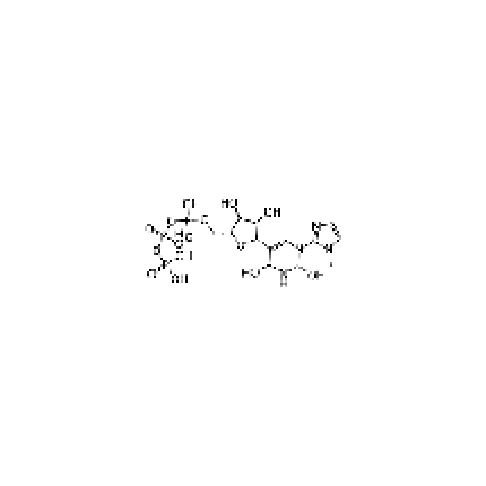 Cn1ccnc1N1C=C([C@@H]2O[C@H](COP(=O)(O)OP(=O)(O)OP(=O)(O)O)[C@@H](O)[C@H]2O)C(O)NC1O